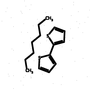 CCCCCCC.c1csc(-c2cccs2)c1